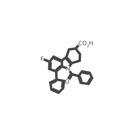 O=C(O)C1CCc2c(c3cc(F)cc(-c4ccccc4)c3n2C(=O)c2ccccc2)C1